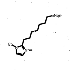 CCCCCCCCCCCCCCCCc1n(CC)cc[n+]1C